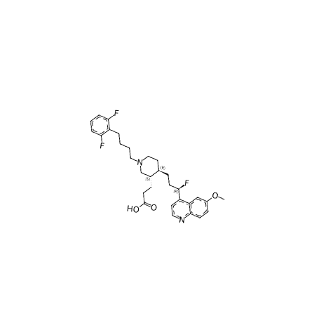 COc1ccc2nccc([C@H](F)CC[C@@H]3CCN(CCCCc4c(F)cccc4F)C[C@H]3CCC(=O)O)c2c1